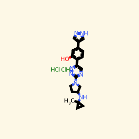 CC1(NC2CCN(c3ncc(-c4ccc(-c5cn[nH]c5)cc4O)nn3)C2)CC1.Cl.Cl